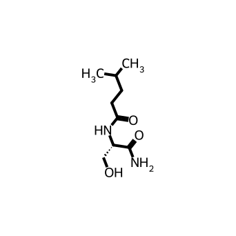 CC(C)CCC(=O)N[C@@H](CO)C(N)=O